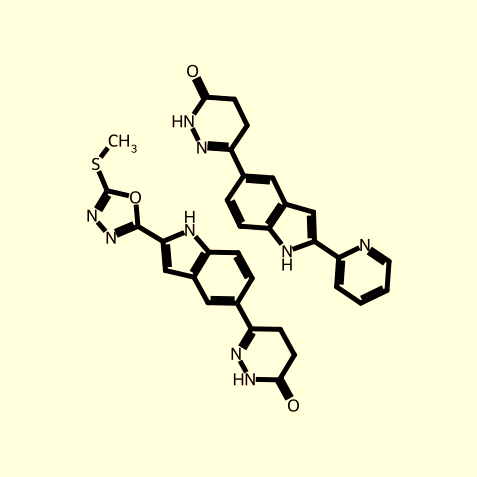 CSc1nnc(-c2cc3cc(C4=NNC(=O)CC4)ccc3[nH]2)o1.O=C1CCC(c2ccc3[nH]c(-c4ccccn4)cc3c2)=NN1